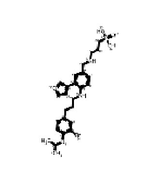 CC(C)Oc1ccc(CCCNc2ccc(CNCCCP(=O)(O)O)cc2-c2ccoc2)cc1Br